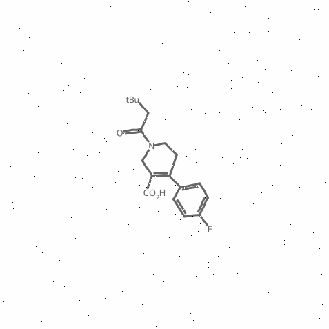 CC(C)(C)CC(=O)N1CCC(c2ccc(F)cc2)=C(C(=O)O)C1